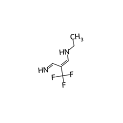 CCN/C=C(\C=N)C(F)(F)F